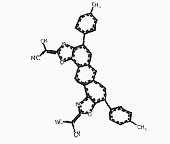 Cc1ccc(-c2cc3cc4cc(-c5ccc(C)cc5)c5oc(=C(C#N)C#N)nc5c4cc3c3oc(=C(C#N)C#N)nc23)cc1